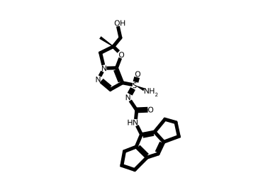 C[C@]1(CO)Cn2ncc([S@](N)(=O)=NC(=O)Nc3c4c(cc5c3CCC5)CCC4)c2O1